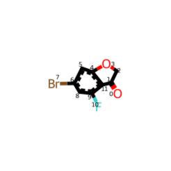 O=C1COc2cc(Br)cc(F)c21